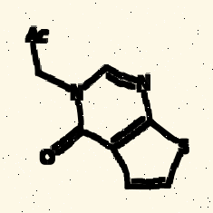 CC(=O)Cn1cnc2sccc2c1=O